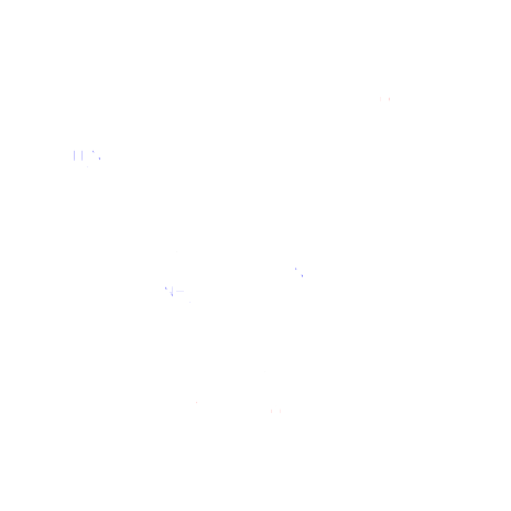 COc1ccc(-c2cc(C3(N)CCC(N)CC3)c3cc(OC)c(OC)cc3n2)cc1